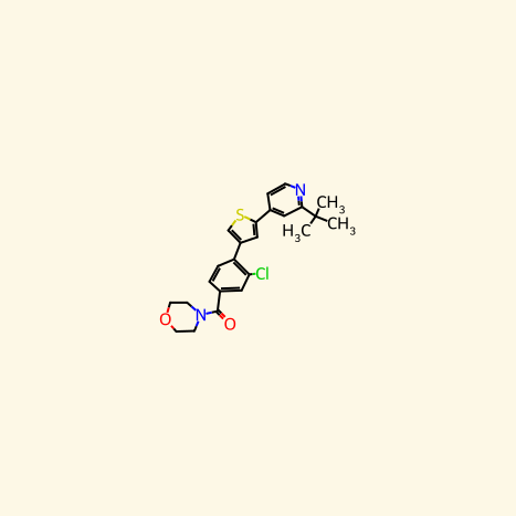 CC(C)(C)c1cc(-c2cc(-c3ccc(C(=O)N4CCOCC4)cc3Cl)cs2)ccn1